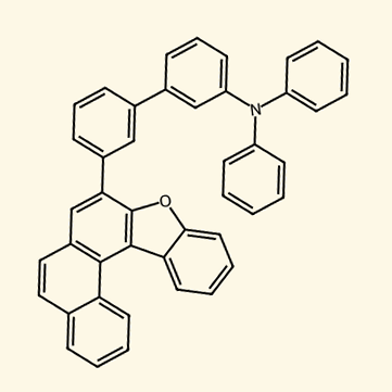 c1ccc(N(c2ccccc2)c2cccc(-c3cccc(-c4cc5ccc6ccccc6c5c5c4oc4ccccc45)c3)c2)cc1